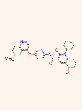 COc1ccc2nccc(Oc3ccc(NC(=O)c4cc5c(n(-c6ccccc6)c4=O)CCCC5=O)nc3)c2c1